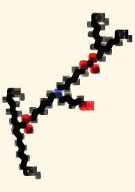 CCCCCCCCC(CCCCCC)C(=O)OCCCCCCN(CCCCO)CCCCCCOC(=O)OCC(CCCC)CCCCCC